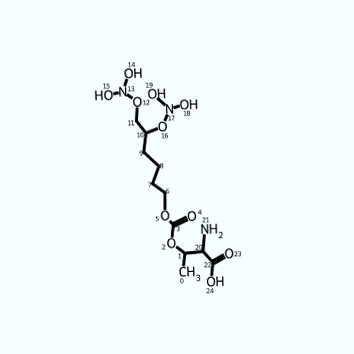 CC(OC(=O)OCCCCC(CON(O)O)ON(O)O)C(N)C(=O)O